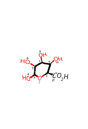 O=C(O)[C@H]1OC(O)[C@@H](O)[C@@H](O)[C@H]1O